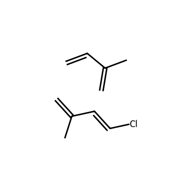 C=C(C)C=CCl.C=CC(=C)C